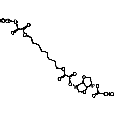 CCCCCCCCOC(=O)C(=O)OCCCCCCCCOC(=O)C(=O)O[C@H]1COC2C1OC[C@@H]2OC(=O)C=O